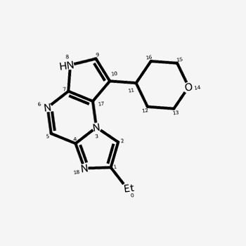 CCc1cn2c(cnc3[nH]cc(C4CCOCC4)c32)n1